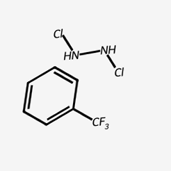 ClNNCl.FC(F)(F)c1ccccc1